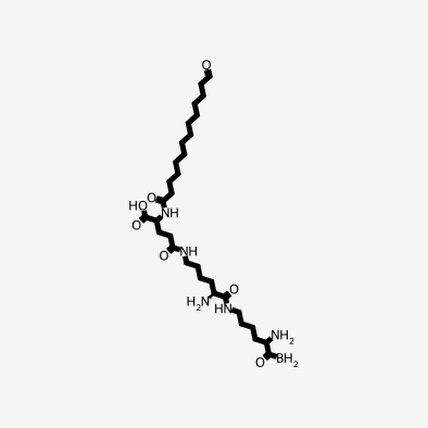 BC(=O)C(N)CCCCNC(=O)[C@@H](N)CCCCNC(=O)CCC(NC(=O)CCCCCCCCCCCCC=O)C(=O)O